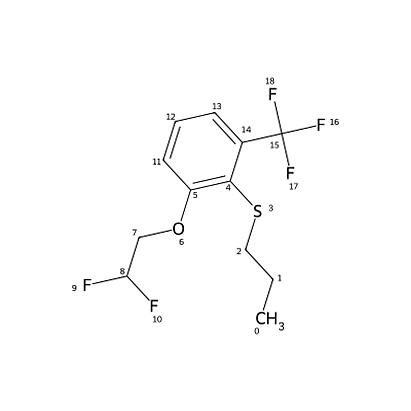 CCCSc1c(OCC(F)F)cccc1C(F)(F)F